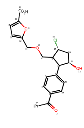 CC(C)C(=O)c1ccc(C2C(COCc3ccc(C(=O)O)o3)[C@H](Cl)C[C@H]2O)cc1